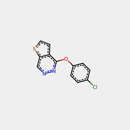 Clc1ccc(Oc2nncc3sccc23)cc1